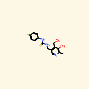 Cc1ncc(CNC(=S)Nc2ccc(F)cc2)c(CO)c1O